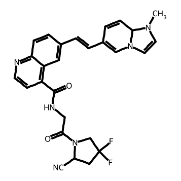 CN1C=CN2C=C(C=Cc3ccc4nccc(C(=O)NCC(=O)N5CC(F)(F)CC5C#N)c4c3)C=CC12